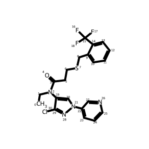 CCN(C(=O)CCSCc1ccccc1C(F)(F)F)c1cn(-c2cccnc2)nc1Cl